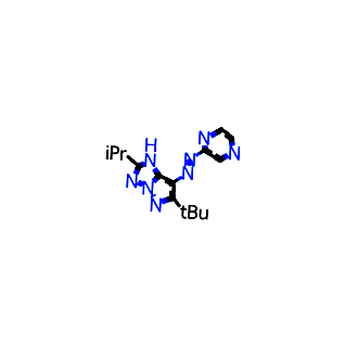 CC(C)c1nn2nc(C(C)(C)C)c(N=Nc3cnccn3)c2[nH]1